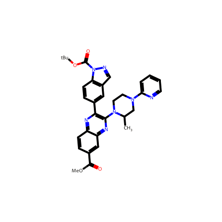 COC(=O)c1ccc2nc(-c3ccc4c(cnn4C(=O)OC(C)(C)C)c3)c(N3CCN(c4ccccn4)CC3C)nc2c1